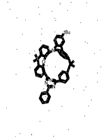 CC(C)(C)c1ccc2c(c1)c1cc3ccc1n2-c1cccc2c1Oc1c(cccc1C2(C)C)-c1nc(-c2ccccc2)nc(n1)-c1ccc(cc1)C3(C)C